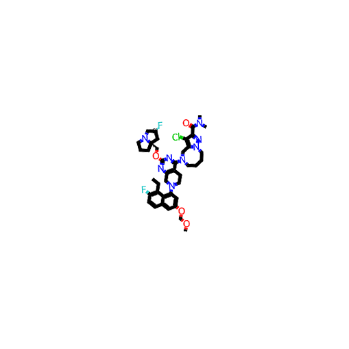 CCc1c(F)ccc2cc(OCOC)cc(N3CCc4c(nc(OC[C@@]56CCCN5C[C@H](F)C6)nc4N4CCCCn5nc(C(=O)N(C)C)c(Cl)c5C4)C3)c12